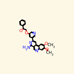 COc1cc2ncc3c(N)nc(-c4cncc(OCC(=O)c5ccccc5)c4)cc3c2cc1OC